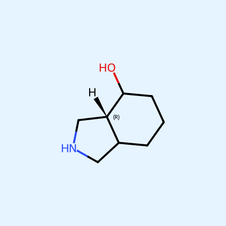 OC1CCCC2CNC[C@H]12